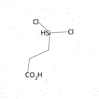 O=C(O)CC[SiH](Cl)Cl